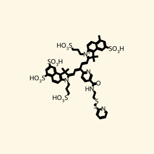 Cc1cc(S(=O)(=O)O)cc2c3c(ccc12)[N+](CCCS(=O)(=O)O)=C(/C=C/C(=C/C=C1/N(CCCS(=O)(=O)O)c2ccc4c(S(=O)(=O)O)cc(S(=O)(=O)O)cc4c2C1(C)C)c1ccc(C(=O)NCCSSc2ccccn2)cn1)C3(C)C